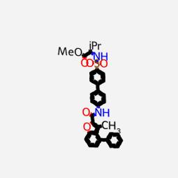 COC(=O)C(NS(=O)(=O)c1ccc(-c2ccc(NC(=O)c3oc4cccc(-c5ccccc5)c4c3C)cc2)cc1)C(C)C